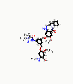 CNc1cc(OCc2cc(COc3cc4c(cc3OC)C(=O)N3c5ccccc5CC3CN4)cc(NC(=O)C(C)NC)c2)c(OC)cc1C=O